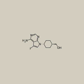 Nc1ncnc2c1c(I)cn2[C@H]1CC[C@H](CO)CC1